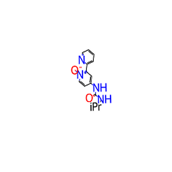 CC(C)NC(=O)Nc1cc[n+]([O-])c(-c2ccccn2)c1